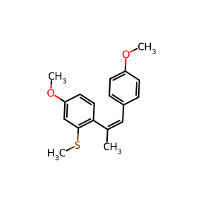 COc1ccc(C=C(C)c2ccc(OC)cc2SC)cc1